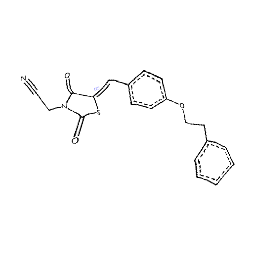 N#CCN1C(=O)S/C(=C\c2ccc(OCCc3ccccc3)cc2)C1=O